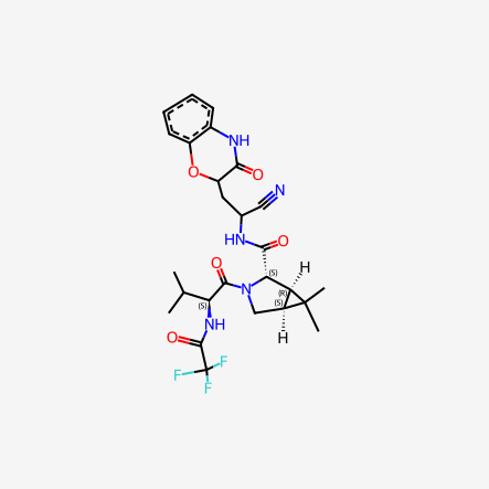 CC(C)[C@H](NC(=O)C(F)(F)F)C(=O)N1C[C@H]2[C@@H]([C@H]1C(=O)NC(C#N)CC1Oc3ccccc3NC1=O)C2(C)C